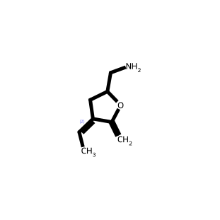 C=C1OC(CN)C/C1=C/C